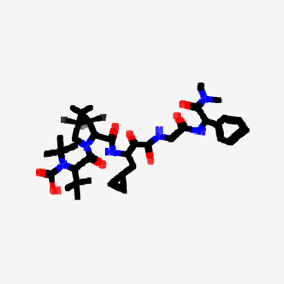 CN(C)C(=O)C(NC(=O)CNC(=O)C(=O)C(CC1CC1)NC(=O)C1[C@@H]2[C@H](CN1C(=O)C(N(C(=O)O)C(C)(C)C)C(C)(C)C)C2(C)C)c1ccccc1